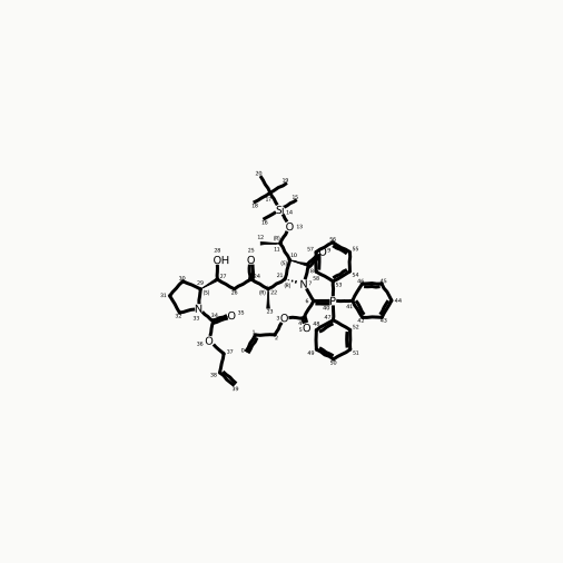 C=CCOC(=O)C(N1C(=O)[C@H]([C@@H](C)O[Si](C)(C)C(C)(C)C)[C@H]1[C@@H](C)C(=O)CC(O)[C@@H]1CCCN1C(=O)OCC=C)=P(c1ccccc1)(c1ccccc1)c1ccccc1